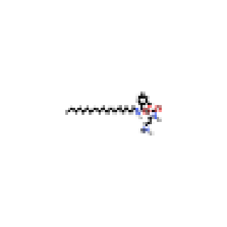 CCCCCCCCCCCCCCCCCCN(C)C(=O)c1ccccc1COC(=O)N(C)CCCN(C)C